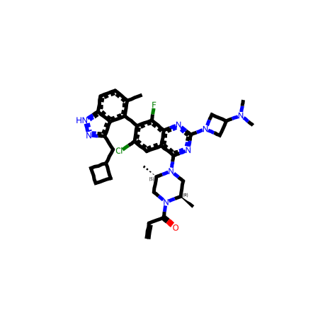 C=CC(=O)N1C[C@H](C)N(c2nc(N3CC(N(C)C)C3)nc3c(F)c(-c4c(C)ccc5[nH]nc(CC6CCC6)c45)c(Cl)cc23)C[C@H]1C